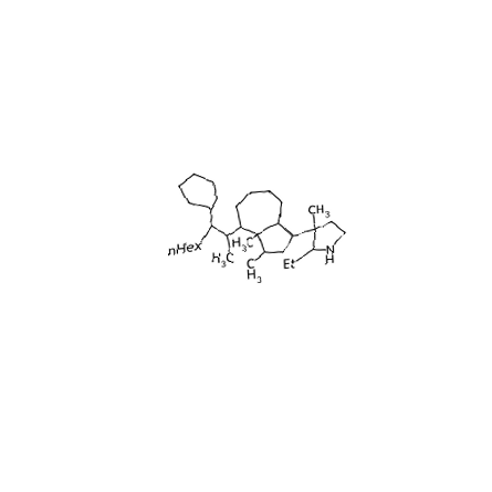 CCCCCCC(C1CCCCC1)C(C)C1CCCCC2C(C3(C)CCNC3CC)CC(C)C12C